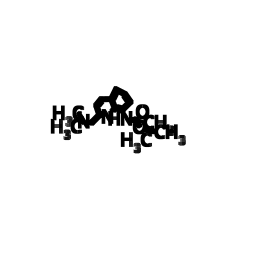 CN(C)Cc1ccc2cccc(NC(=O)OC(C)(C)C)c2n1